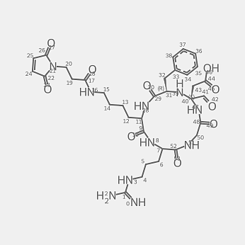 N=C(N)NCCCC1NC(=O)C(CCCCNC(=O)CCN2C(=O)C=CC2=O)NC(=O)[C@@H](Cc2ccccc2)N[C@@](C=O)(CC(=O)O)NC(=O)CNC1=O